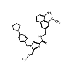 COCc1nc(C(=O)NCc2cc(OC)c3c(N)nccc3c2)nn1Cc1cnc(N2CCCC2)nc1